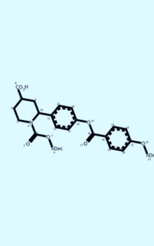 CCCCCCCCCCOC(=O)N1CCC(C(=O)O)CC1c1ccc(OC(=O)c2ccc(OCCCCCCCCCC)cc2)cc1